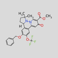 COC(=O)c1cn2c(cc1=O)-c1cc(OC(F)(F)F)c(OCc3ccccc3)cc1[C@H]1CCC(C)(C)N12